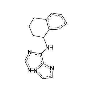 c1ccc2c(c1)CCCC2Nc1ncnn2ccnc12